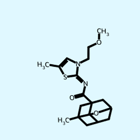 COCCn1cc(C)sc1=NC(=O)C12CC3CC(C1)OC(C)(C3)C2